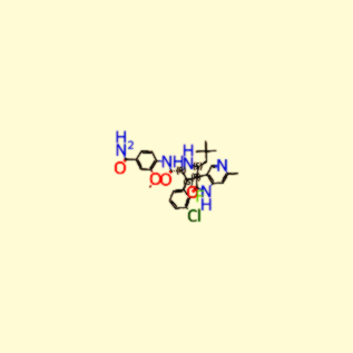 COc1cc(C(N)=O)ccc1NC(=O)[C@@H]1N[C@@H](CC(C)(C)C)[C@@]2(C(=O)Nc3cc(C)ncc32)[C@H]1c1cccc(Cl)c1F